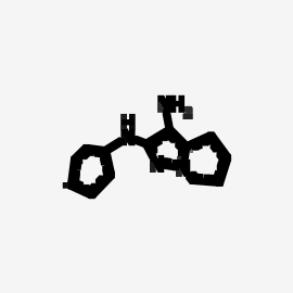 Nc1c(Nc2cc[c]cc2)nn2ccccc12